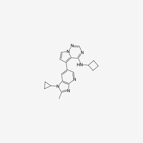 Cc1nc2ncc(-c3ccn4ncnc(NC5CCC5)c34)cc2n1C1CC1